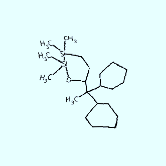 CC(C1CCCCC1)(C1CCCCC1)C1CC[Si](C)(C)[Si](C)(C)O1